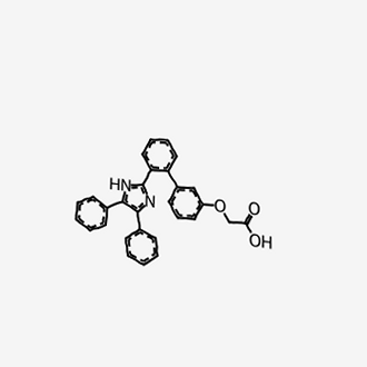 O=C(O)COc1cccc(-c2ccccc2-c2nc(-c3ccccc3)c(-c3ccccc3)[nH]2)c1